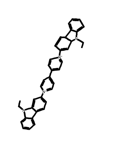 CCN1c2ccccc2C2C=CC([n+]3ccc(-c4cc[n+](-c5ccc6c7ccccc7n(CC)c6c5)cc4)cc3)=CC21